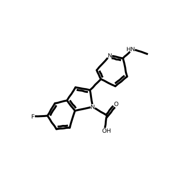 CNc1ccc(-c2cc3cc(F)ccc3n2C(=O)O)cn1